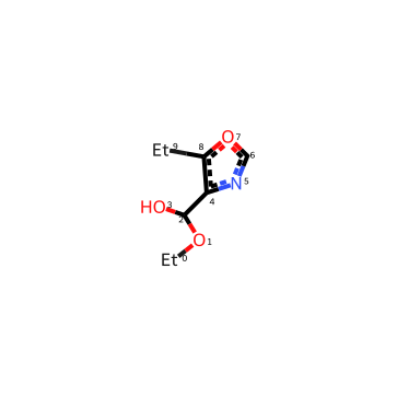 CCOC(O)c1ncoc1CC